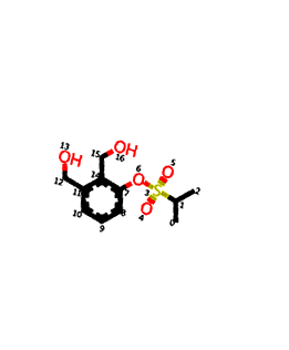 CC(C)S(=O)(=O)Oc1cccc(CO)c1CO